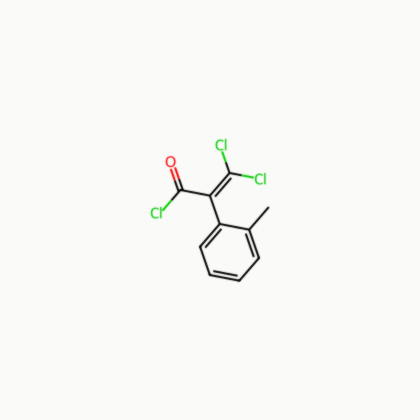 Cc1ccccc1C(C(=O)Cl)=C(Cl)Cl